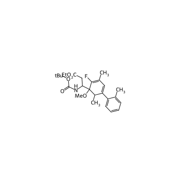 CCOC(=O)CC(NC(=O)OC(C)(C)C)C1(OC)C(F)=C(C)C=C(c2ccccc2C)C1C